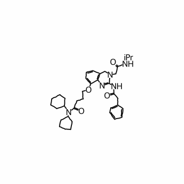 CC(C)NC(=O)CN1Cc2cccc(OCCCC(=O)N(C3CCCCC3)C3CCCCC3)c2N=C1NC(=O)Cc1ccccc1